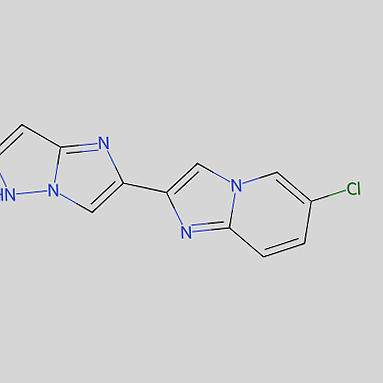 Clc1ccc2nc(-c3cn4[nH]ccc4n3)cn2c1